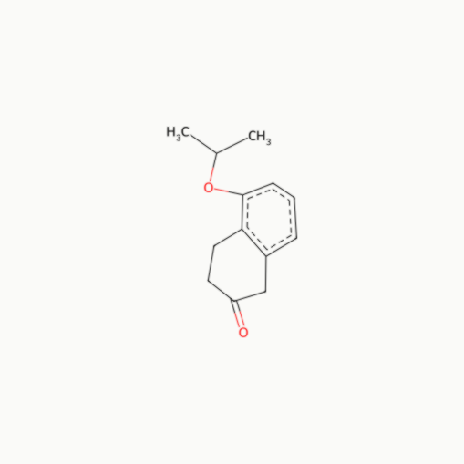 CC(C)Oc1cccc2c1CCC(=O)C2